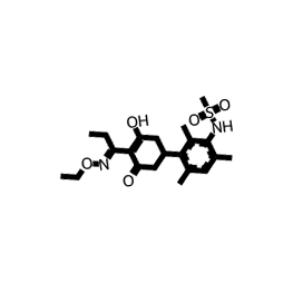 CCON=C(CC)C1=C(O)CC(c2c(C)cc(C)c(NS(C)(=O)=O)c2C)CC1=O